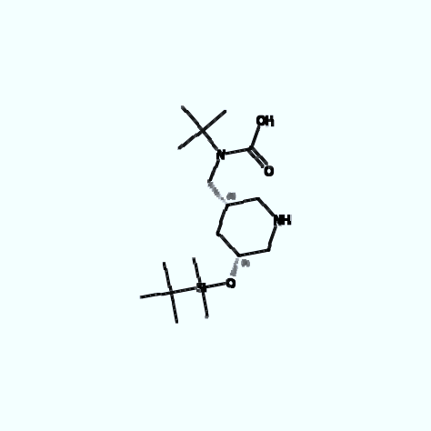 CC(C)(C)N(C[C@@H]1CNC[C@H](O[Si](C)(C)C(C)(C)C)C1)C(=O)O